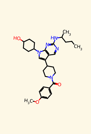 CCCC(C)Nc1ncc2c(C3CCN(C(=O)c4ccc(OC)cc4)CC3)cn(C3CCC(O)CC3)c2n1